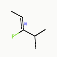 C/C=C(\F)C(C)C